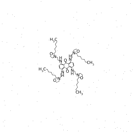 CCCCCCC1OCCN1CCNc1ccc(NCCN2CCOC2CCCCCC)c2c1C(=O)c1c(NCCN3CCOC3CCCCCC)ccc(NCCN3CCOC3CCCCCC)c1C2=O